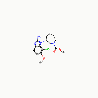 CCCCOc1ccc2nc(N)n([C@@H]3CCCCN(C(=O)OC(C)(C)C)C3)c2c1Cl